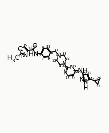 Cc1nc(C(=O)Nc2ccc(CN3CCN(c4nccc(Nc5cc(C6CC6)[nH]n5)n4)CC3)cc2)co1